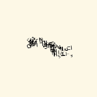 CC1(C)CCC(CN2CCN(c3ccc(C(=O)NS(=O)(=O)c4ccc(NCC5CCN(CCCSc6cccc7c6C(=O)N(C6CCC(=O)NC6=O)C7=O)CC5)c([N+](=O)[O-])c4)c(Oc4cnc5[nH]ccc5c4)c3)CC2)=C(c2ccc(Cl)cc2)C1